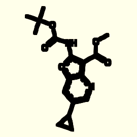 COC(=O)c1c(NC(=O)OC(C)(C)C)oc2cc(C3CC3)cnc12